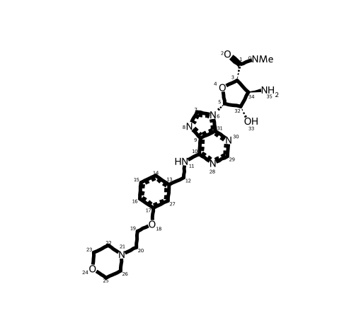 CNC(=O)[C@H]1O[C@@H](n2cnc3c(NCc4cccc(OCCN5CCOCC5)c4)ncnc32)[C@@H](O)[C@@H]1N